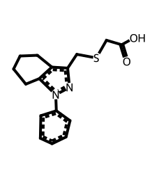 O=C(O)CSCc1nn(-c2ccccc2)c2c1CCCC2